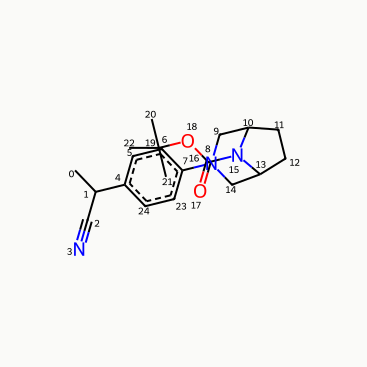 CC(C#N)c1ccc(N2CC3CCC(C2)N3C(=O)OC(C)(C)C)cc1